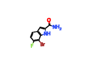 NC(=O)c1cc2ccc(F)c(Br)c2[nH]1